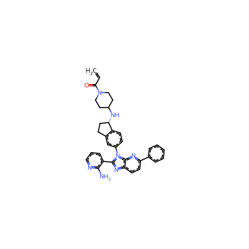 C=CC(=O)N1CCC(N[C@H]2CCc3cc(-n4c(-c5cccnc5N)nc5ccc(-c6ccccc6)nc54)ccc32)CC1